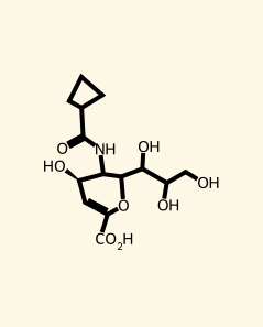 O=C(O)C1=C[C@@H](O)C(NC(=O)C2CCC2)C(C(O)C(O)CO)O1